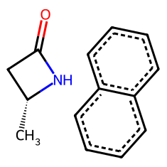 C[C@@H]1CC(=O)N1.c1ccc2ccccc2c1